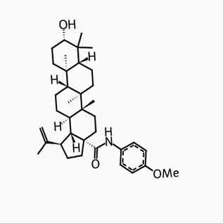 C=C(C)[C@@H]1CC[C@]2(C(=O)Nc3ccc(OC)cc3)CC[C@]3(C)[C@H](CC[C@@H]4[C@@]5(C)CC[C@H](O)C(C)(C)[C@@H]5CC[C@]43C)[C@@H]12